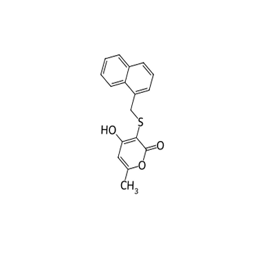 Cc1cc(O)c(SCc2cccc3ccccc23)c(=O)o1